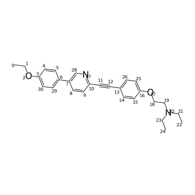 CCOc1ccc(-c2ccc(C#Cc3ccc(OCCN(CC)CC)cc3)nc2)cc1